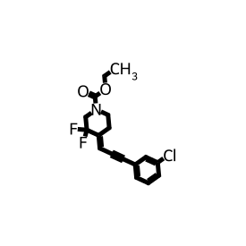 CCOC(=O)N1CC/C(=C\C#Cc2cccc(Cl)c2)C(F)(F)C1